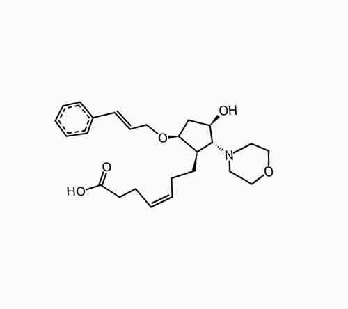 O=C(O)CC/C=C\CC[C@@H]1[C@@H](N2CCOCC2)[C@H](O)C[C@@H]1OC/C=C/c1ccccc1